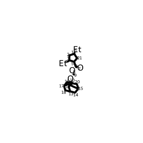 CCC1CC(CC)C(C(=O)OCOC23CC4CC(CC(C4)C2)C3)C1